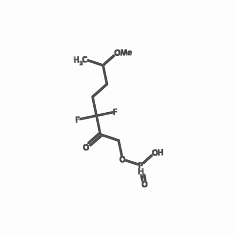 COC(C)CCC(F)(F)C(=O)CO[PH](=O)O